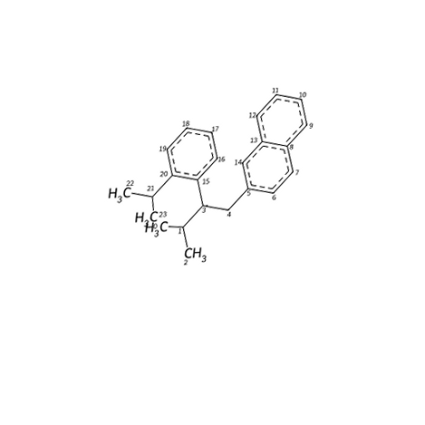 CC(C)[C](Cc1ccc2ccccc2c1)c1ccccc1C(C)C